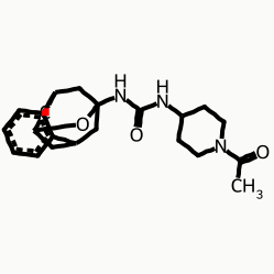 CC(=O)N1CCC(NC(=O)NC23CC4CC(CC(C2)c2ccccc24)O3)CC1